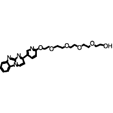 OCCOCCOCCOCCOCCOc1ccc(-c2ccn3c(n2)nc2ccccc23)cn1